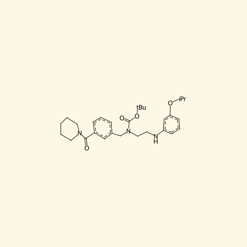 CC(C)Oc1cccc(NCCN(Cc2cccc(C(=O)N3CCCCC3)c2)C(=O)OC(C)(C)C)c1